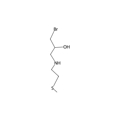 CSCCNCC(O)CBr